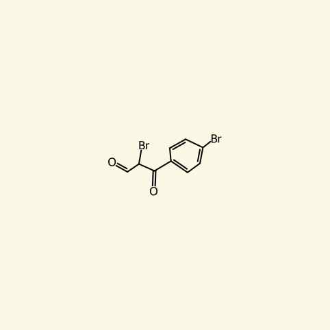 O=CC(Br)C(=O)c1ccc(Br)cc1